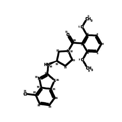 COc1cccc(OC)c1C(=O)N1CC[C@@H](Nc2nc3c(Cl)cccc3s2)C1